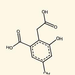 O=C(O)Cc1c(O)cc(O)cc1C(=O)O